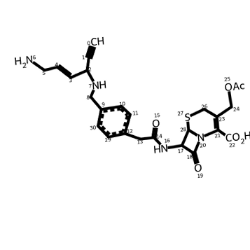 C#CC(C=CCN)NCc1ccc(CC(=O)NC2C(=O)N3C(C(=O)O)=C(COC(C)=O)CSC23)cc1